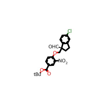 CC(C)(C)OC(=O)c1ccc(OC[C@@]2(C=O)CCc3cc(Cl)ccc32)c([N+](=O)[O-])c1